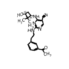 CC(=O)c1cccc(CCNc2ncc(C#N)c(N[C@@H]3C[C@H](O)C3(C)C)n2)c1